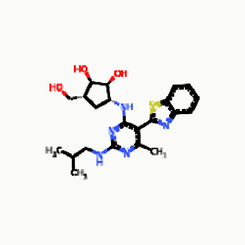 Cc1nc(NCC(C)C)nc(N[C@@H]2C[C@H](CO)[C@@H](O)[C@H]2O)c1-c1nc2ccccc2s1